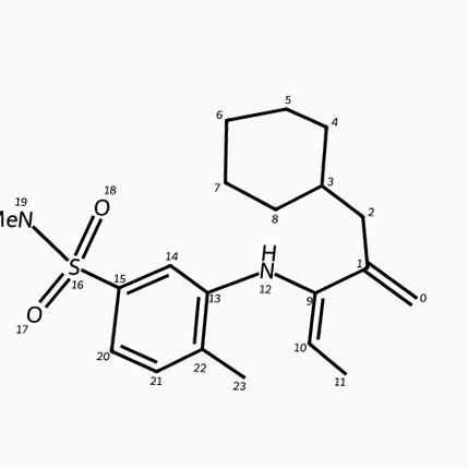 C=C(CC1CCCCC1)/C(=C\C)Nc1cc(S(=O)(=O)NC)ccc1C